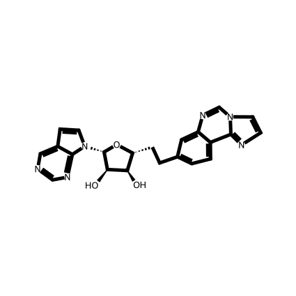 O[C@@H]1[C@H](O)[C@@H](CCc2ccc3c(c2)ncn2ccnc32)O[C@H]1n1ccc2cncnc21